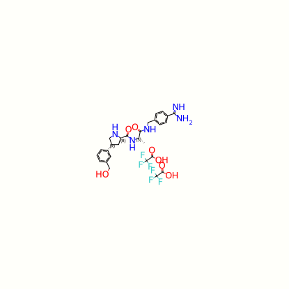 C[C@H](NC(=O)[C@H]1C[C@H](c2cccc(CO)c2)CN1)C(=O)NCc1ccc(C(=N)N)cc1.O=C(O)C(F)(F)F.O=C(O)C(F)(F)F